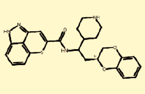 O=C(NC(C[C@H]1COc2ccccc2O1)C1CCNCC1)C1=Cc2n[nH]c3cccc(c23)S1